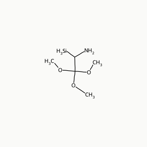 COC(OC)(OC)C(N)[SiH3]